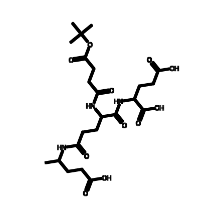 CC(CCC(=O)O)NC(=O)CCC(NC(=O)CCC(=O)OC(C)(C)C)C(=O)NC(CCC(=O)O)C(=O)O